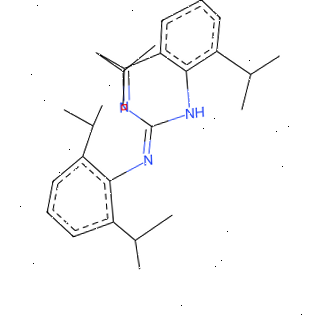 CC(C)=N/C(=N\c1c(C(C)C)cccc1C(C)C)Nc1c(C(C)C)cccc1C(C)C